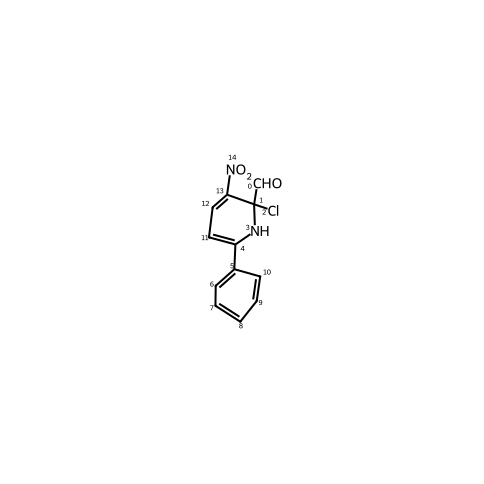 O=CC1(Cl)NC(c2ccccc2)=CC=C1[N+](=O)[O-]